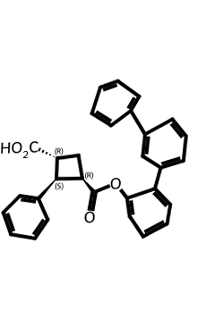 O=C(O)[C@@H]1C[C@@H](C(=O)Oc2ccccc2-c2cccc(-c3ccccc3)c2)[C@H]1c1ccccc1